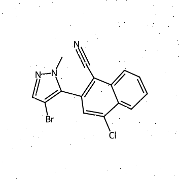 Cn1ncc(Br)c1-c1cc(Cl)c2ccccc2c1C#N